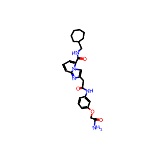 NC(=O)COc1cccc(NC(=O)Cc2cn3c(C(=O)NCC4CCCCCC4)cccc3n2)c1